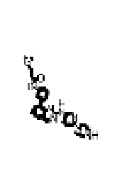 CN(C)CC=CC(=O)Nc1cccc(-c2cccc3cnc(Nc4ccc(N5CCNCC5)nc4)nc23)c1